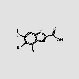 COc1cc2oc(C(=O)O)cc2c(C)c1Br